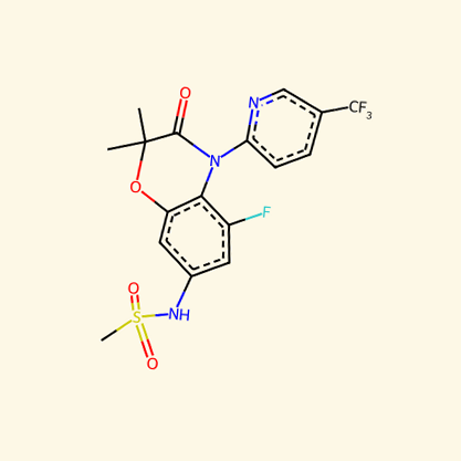 CC1(C)Oc2cc(NS(C)(=O)=O)cc(F)c2N(c2ccc(C(F)(F)F)cn2)C1=O